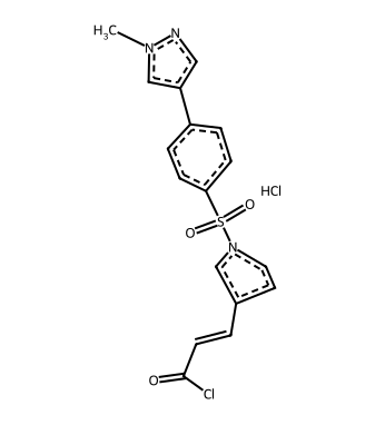 Cl.Cn1cc(-c2ccc(S(=O)(=O)n3ccc(C=CC(=O)Cl)c3)cc2)cn1